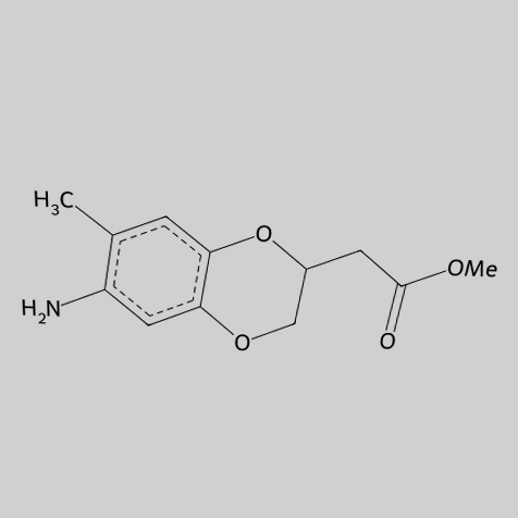 COC(=O)CC1COc2cc(N)c(C)cc2O1